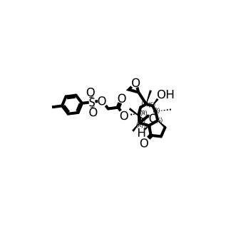 Cc1ccc(S(=O)(=O)OCC(=O)O[C@@H]2C[C@](C)(C3CO3)[C@@H](O)[C@H](C)[C@]34CCC(=O)[C@H]3[C@@]2(C)[C@H](C)CC4)cc1